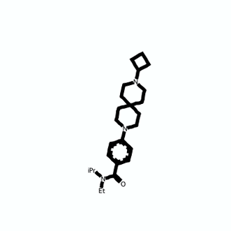 CCN(C(=O)c1ccc(N2CCC3(CC2)CCN(C2CCC2)CC3)cc1)C(C)C